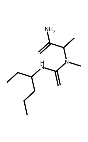 C=C(N)C(C)N(C)C(=C)NC(CC)CCC